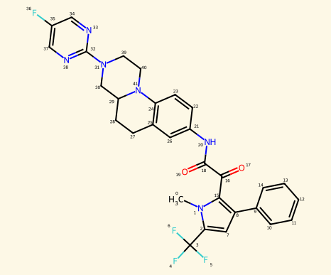 Cn1c(C(F)(F)F)cc(-c2ccccc2)c1C(=O)C(=O)Nc1ccc2c(c1)CCC1CN(c3ncc(F)cn3)CCN21